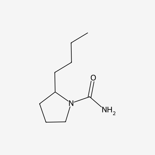 CCCCC1CCCN1C(N)=O